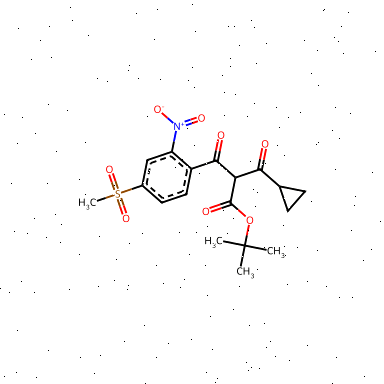 CC(C)(C)OC(=O)C(C(=O)c1ccc(S(C)(=O)=O)cc1[N+](=O)[O-])C(=O)C1CC1